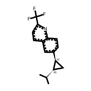 CC(C)[C@H]1C[C@@H]1c1ccc2nc(C(F)(F)F)ccc2c1